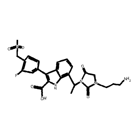 CC(c1cccc2c(-c3ccc(CS(C)(=O)=O)c(F)c3)c(C(=O)O)[nH]c12)N1C(=O)CN(CCCN)C1=O